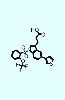 O=C(O)CCc1cn(S(=O)(=O)c2ccccc2OC(F)(F)F)c2ccc(-c3ccsc3)cc12